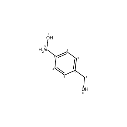 OCc1ccc([SiH2]O)cc1